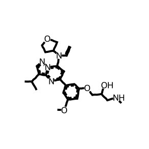 C=CN(c1cc(-c2cc(OC)cc(OCC(O)CNC)c2)nc2c(C(C)C)cnn12)C1CCOC1